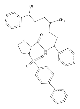 CN(CCC(O)c1ccccc1)CCC(NC(=O)C1SCCN1S(=O)(=O)c1ccc(-c2ccccc2)cc1)c1ccccc1